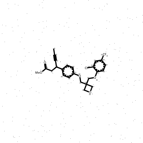 CC#CC(CC(=O)OC)c1ccc(OCC2(COc3ccc(C(F)(F)F)cc3Cl)COC2)cc1